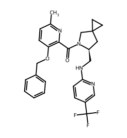 Cc1ccc(OCc2ccccc2)c(C(=O)N2CC3(CC3)C[C@H]2CNc2ccc(C(F)(F)F)cn2)n1